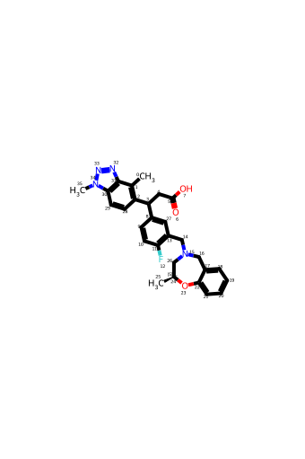 Cc1c(C(CC(=O)O)c2ccc(F)c(CN3Cc4ccccc4O[C@@H](C)C3)c2)ccc2c1nnn2C